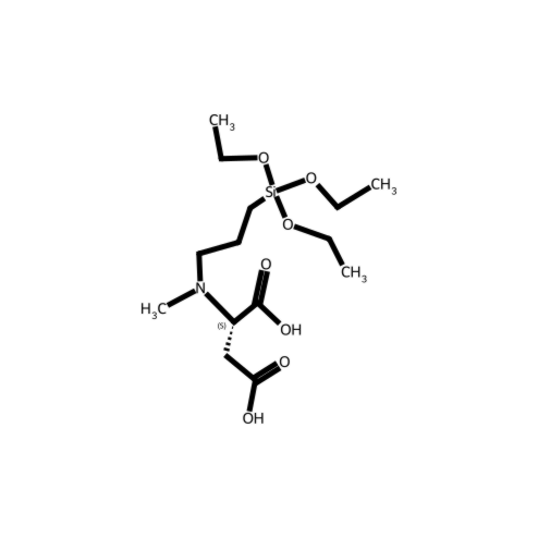 CCO[Si](CCCN(C)[C@@H](CC(=O)O)C(=O)O)(OCC)OCC